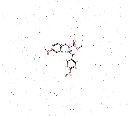 COC(=O)N(Cc1ccc(OC)cc1)NCc1ccc(OC)cc1